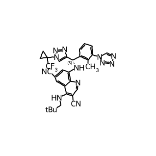 Cc1c([C@H](Nc2cc(C#N)cc3c(NCC(C)(C)C)c(C#N)cnc23)c2cn(C3(C(F)(F)F)CC3)nn2)cccc1-n1cnnn1